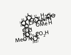 COc1nc(-c2cccc(-c3cccc4c3CC[C@@H]4Oc3nc(OC)c(CN4CCC[C@H](C(=O)O)C4)cc3Cl)c2Cl)ccc1CNC[C@@H]1CCC(=O)N1